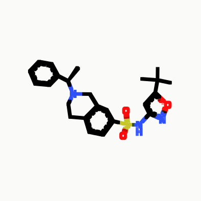 C[C@H](c1ccccc1)N1CCc2ccc(S(=O)(=O)Nc3cc(C(C)(C)C)on3)cc2C1